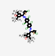 CC(C)(C)C1=CC(=C(/N=N/c2cc(Cl)c(-c3cc(Cl)c(/N=N/C(=C4C=C(C(C)(C)C)C(=O)C(C(C)(C)C)=C4)c4ccc(Cl)s4)cc3Cl)cc2Cl)c2ccc(Cl)s2)C=C(C(C)(C)C)C1=O